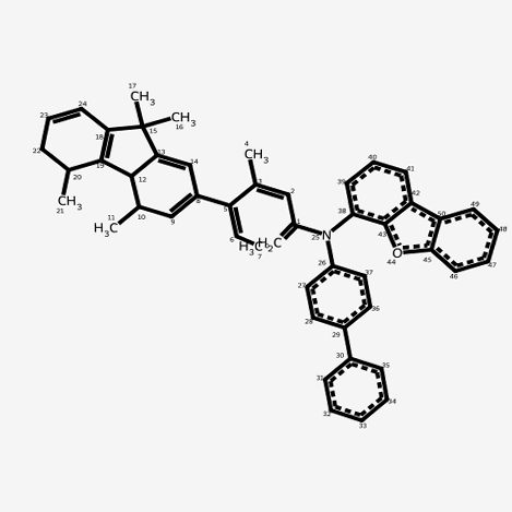 C=C(/C=C(C)\C(=C/C)C1=CC(C)C2C(=C1)C(C)(C)C1=C2C(C)CC=C1)N(c1ccc(-c2ccccc2)cc1)c1cccc2c1oc1ccccc12